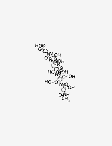 CC(=O)Nc1ccc(/N=N/c2cc(OCCO)c(/N=N/c3c(S(=O)(=O)O)cc4c(S(=O)(=O)O)c(/N=N/C5C(=O)N(c6ccc(S(=O)(=O)O)cc6)N=C5C(=O)O)ccc4c3O)cc2OCCO)c(C(=O)O)c1